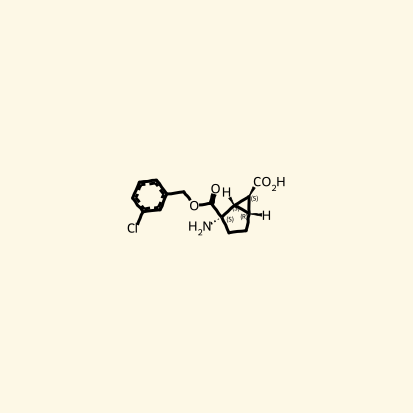 N[C@@]1(C(=O)OCc2cccc(Cl)c2)CC[C@H]2[C@H](C(=O)O)[C@H]21